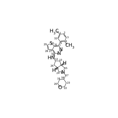 Cc1ccc(C)c(-c2nnc(NC3C[C@@H]4CN(CC5CCOCC5)C[C@@H]4C3)c3ccsc23)c1